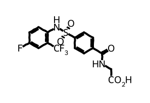 O=C(O)CNC(=O)c1ccc(S(=O)(=O)Nc2ccc(F)cc2C(F)(F)F)cc1